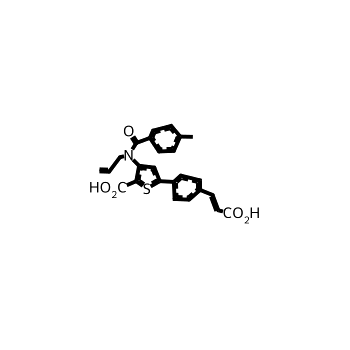 C=CCN(C(=O)c1ccc(C)cc1)c1cc(-c2ccc(C=CC(=O)O)cc2)sc1C(=O)O